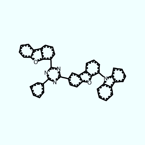 c1ccc(-c2nc(-c3ccc4oc5c(-n6c7ccccc7c7ccccc76)cccc5c4c3)nc(-c3cccc4c3oc3ccccc34)n2)cc1